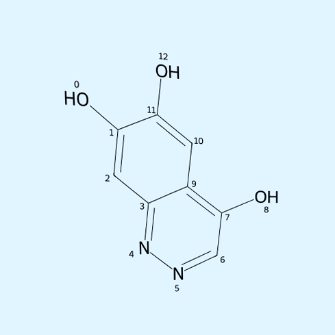 Oc1cc2nncc(O)c2cc1O